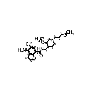 COCCCN1CCC(CNC(=O)c2cc(Cl)c(N)c3c2OCC3)C(OC)C1